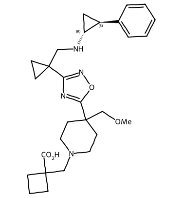 COCC1(c2nc(C3(CN[C@@H]4C[C@H]4c4ccccc4)CC3)no2)CCN(CC2(C(=O)O)CCC2)CC1